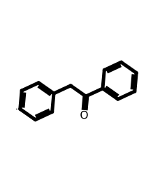 O=C(Cc1cc[c]cc1)c1ccccc1